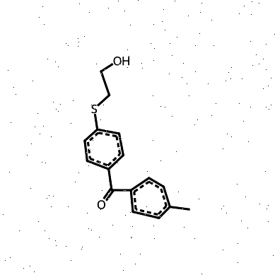 Cc1ccc(C(=O)c2ccc(SCCO)cc2)cc1